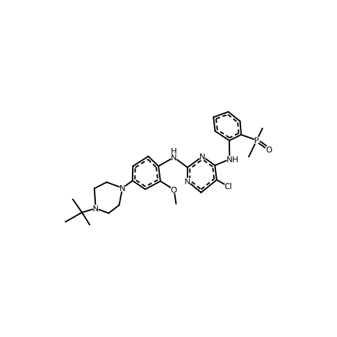 COc1cc(N2CCN(C(C)(C)C)CC2)ccc1Nc1ncc(Cl)c(Nc2ccccc2P(C)(C)=O)n1